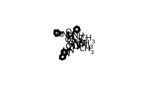 CC(C)C[C@H](NC(=O)c1ccc2ccccc2n1)C(=O)N[C@@H](CC(C)C)C(=O)[C@@](N)(Cc1ccccc1)C(=O)C(=O)NCc1ccccc1